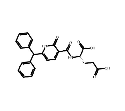 O=C(O)CC[C@H](NC(=O)c1ccc(C(c2ccccc2)c2ccccc2)[nH]c1=O)C(=O)O